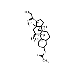 CC(=O)OC1CC[C@@]2(C)C(CC[C@H]3[C@@H]4CC[C@H](C(=O)CO)[C@@]4(C)CC(=O)[C@@]32F)C1